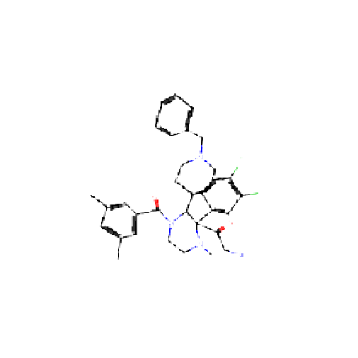 Cc1cc(C)cc(C(=O)N2CCN(C)C(C(=O)CN)(c3ccc(Cl)c(Cl)c3)C2C2CCN(Cc3ccccc3)CC2)c1